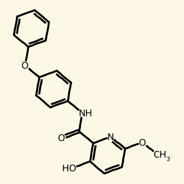 COc1ccc(O)c(C(=O)Nc2ccc(Oc3ccccc3)cc2)n1